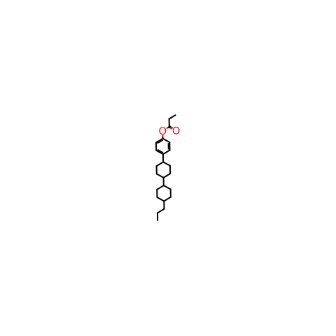 CCCC1CCC(C2CCC(c3ccc(OC(=O)CC)cc3)CC2)CC1